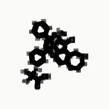 CC(C)(C)C1=C(Cl)c2c(ccc3c2CNCCO3)[N+]1(S(=O)(=O)c1ccccc1)S(=O)(=O)c1ccccc1.O=C(O)C(F)(F)F